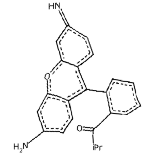 CC(C)C(=O)c1ccccc1-c1c2ccc(=N)cc-2oc2cc(N)ccc12